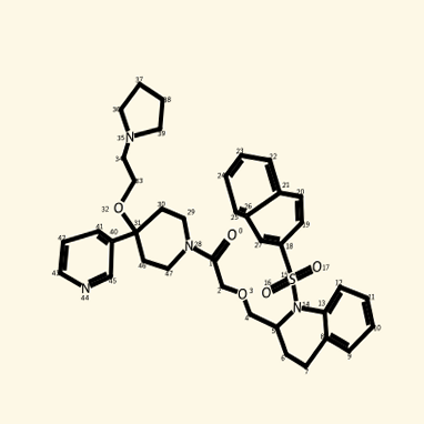 O=C(COCC1CCc2ccccc2N1S(=O)(=O)c1ccc2ccccc2c1)N1CCC(OCCN2CCCC2)(c2cccnc2)CC1